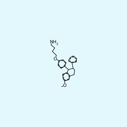 COc1ccc2c(c1)CCC(c1ccccc1)C2c1ccc(OCCCCN)cc1